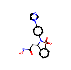 O=C(CC1c2ccccc2S(=O)(=O)N1c1ccc(-n2ccnc2)cc1)NO